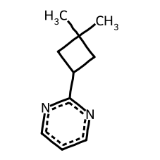 CC1(C)CC(c2ncccn2)C1